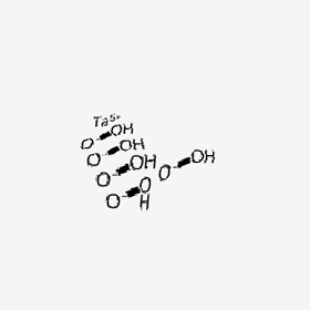 [O-]O.[O-]O.[O-]O.[O-]O.[O-]O.[Ta+5]